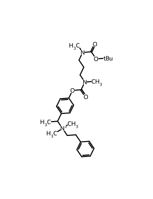 CC(c1ccc(OC(=O)N(C)CCCN(C)C(=O)OC(C)(C)C)cc1)[N+](C)(C)CCc1ccccc1